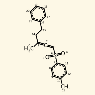 CC(=C=CS(=O)(=O)c1ccc(C)cc1)CCc1ccccc1